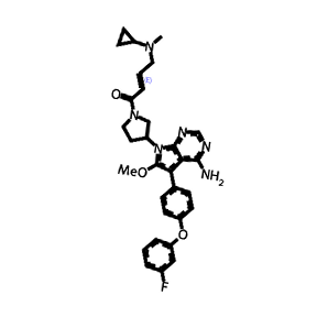 COc1c(-c2ccc(Oc3cccc(F)c3)cc2)c2c(N)ncnc2n1C1CCN(C(=O)/C=C/CN(C)C2CC2)C1